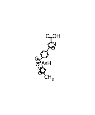 Cc1cc([AsH]S(=O)(=O)c2ccc(-c3cc(C(=O)O)no3)cc2)no1